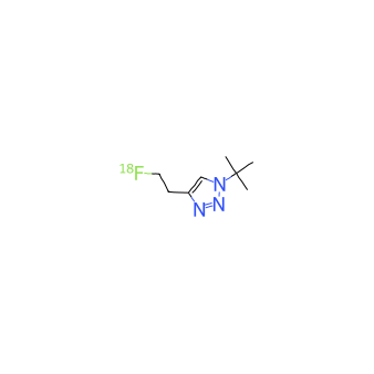 CC(C)(C)n1cc(CC[18F])nn1